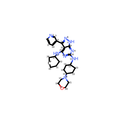 c1cncc(-c2n[nH]c3nc(NC4CCC(N5CCOCC5)CC4)nc(NC4CCCCC4)c23)c1